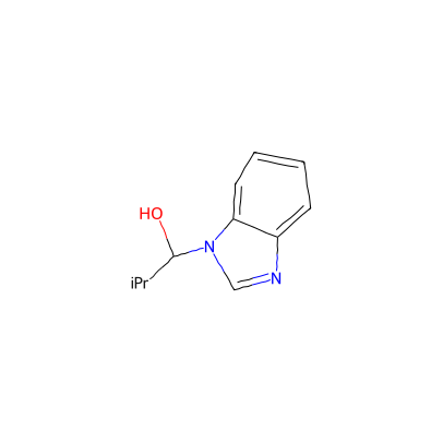 CC(C)C(O)n1cnc2ccccc21